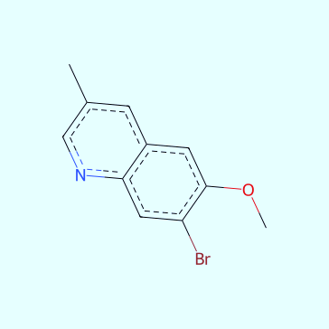 COc1cc2cc(C)cnc2cc1Br